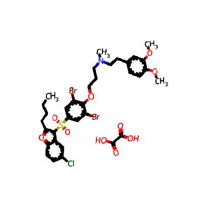 CCCCc1oc2ccc(Cl)cc2c1S(=O)(=O)c1cc(Br)c(OCCCN(C)CCc2ccc(OC)c(OC)c2)c(Br)c1.O=C(O)C(=O)O